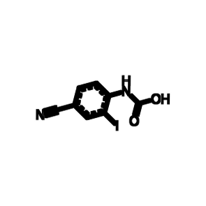 N#Cc1ccc(NC(=O)O)c(I)c1